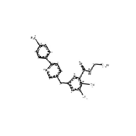 Cc1nc(Cc2ccc(-c3ccc(C(F)(F)F)cc3)nc2)nc(C(=O)NCC(=O)O)c1O